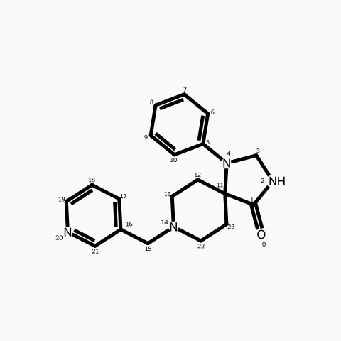 O=C1NCN(c2ccccc2)C12CCN(Cc1cccnc1)CC2